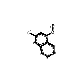 CCOc1cc(Cl)cc2ccccc12